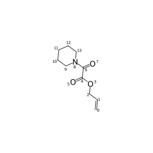 C=CCOC(=O)C(=O)N1CCCCC1